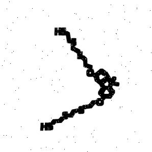 CC1(C)c2ccc(OCCCSCCSCCS)cc2-c2cc(OCCCSCCSCCS)ccc21